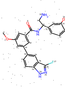 COc1cc(C(=O)NC(CN)c2cccc(O)c2)cc(-c2ccc3[nH]nc(F)c3c2)c1